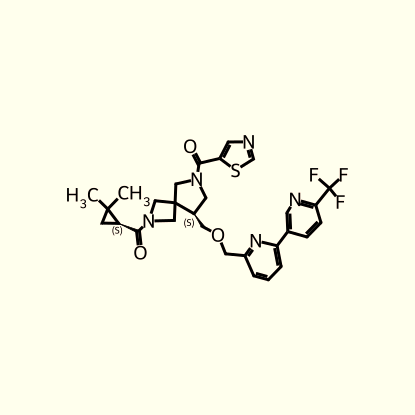 CC1(C)C[C@@H]1C(=O)N1CC2(CN(C(=O)c3cncs3)C[C@H]2COCc2cccc(-c3ccc(C(F)(F)F)nc3)n2)C1